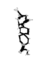 CCCCOC(=O)N1CCC2(CCc3c(sc4nc(C(=O)O)[nH]c(=O)c34)C2)CC1